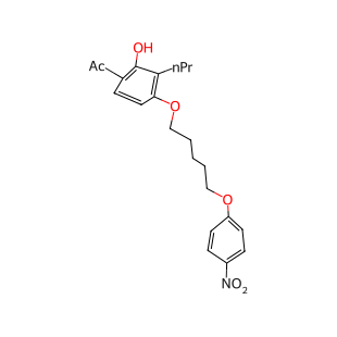 CCCc1c(OCCCCCOc2ccc([N+](=O)[O-])cc2)ccc(C(C)=O)c1O